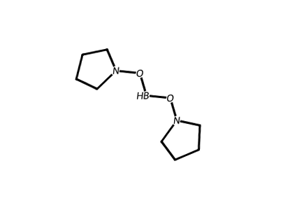 B(ON1CCCC1)ON1CCCC1